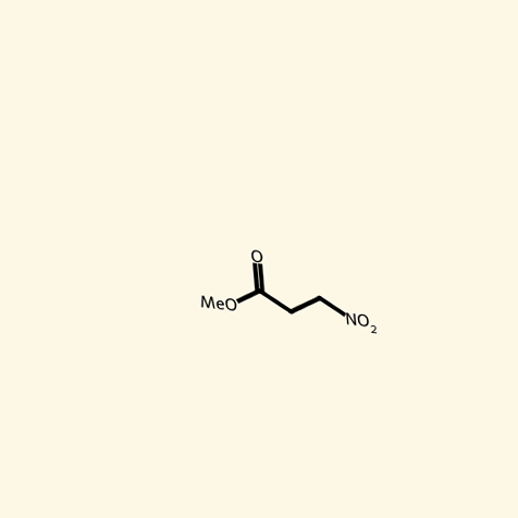 COC(=O)CC[N+](=O)[O-]